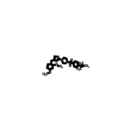 COc1ccc(Cc2csc(N3CCN(S(=O)(=O)c4ccc(C(C)(C)C)cc4)CC3)n2)c(OC)c1